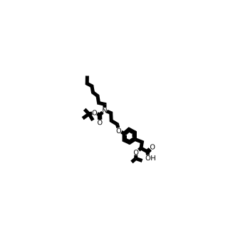 CCCCCCCN(CCCOc1ccc(CC(OC(C)C)C(=O)O)cc1)C(=O)OC(C)(C)C